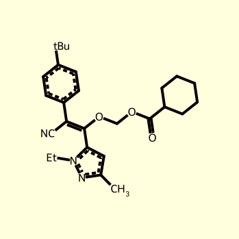 CCn1nc(C)cc1/C(OCOC(=O)C1CCCCC1)=C(\C#N)c1ccc(C(C)(C)C)cc1